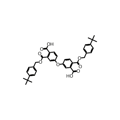 CC(C)(C)c1ccc(COC(=O)c2ccc(Oc3ccc(C(=O)O)c(C(=O)OCc4ccc(C(C)(C)C)cc4)c3)cc2C(=O)O)cc1